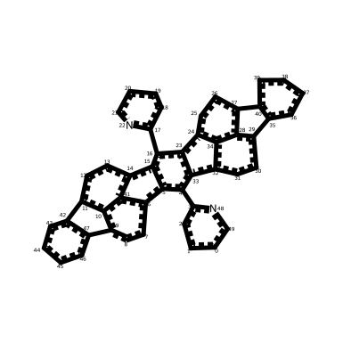 c1ccc(-c2c3c4ccc5c6c(ccc(c3c(-c3ccccn3)c3c7ccc8c9c(ccc(c23)c97)-c2ccccc2-8)c64)-c2ccccc2-5)nc1